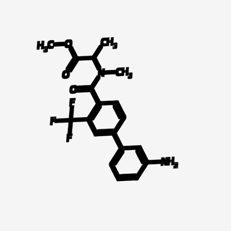 COC(=O)C(C)N(C)C(=O)c1ccc(-c2cccc(N)c2)cc1C(F)(F)F